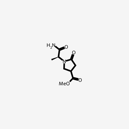 COC(=O)C1CC(=O)N([C@@H](C)C(N)=O)C1